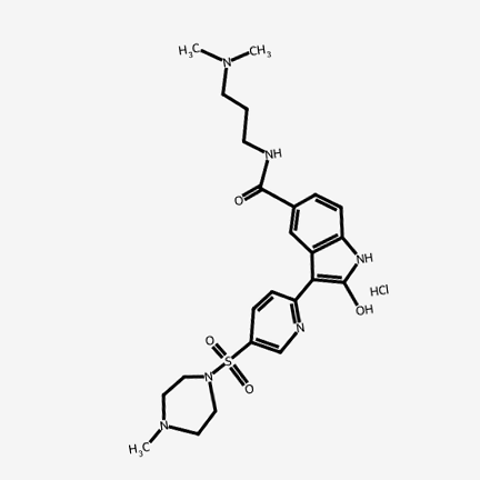 CN(C)CCCNC(=O)c1ccc2[nH]c(O)c(-c3ccc(S(=O)(=O)N4CCN(C)CC4)cn3)c2c1.Cl